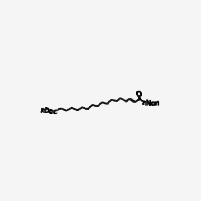 CCCCCCCCCCCCCCCCCCCCCCCCC=CC(=O)CCCCCCCCC